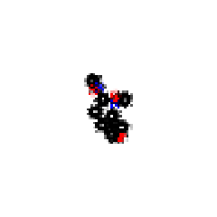 c1cc(-c2cc(-c3nc4ccccc4o3)cc(-c3nc4ccccc4o3)c2)cc(-c2ccc3c(c2)C2(c4ccccc4-c4ccccc42)c2c-3ccc3ccccc23)c1